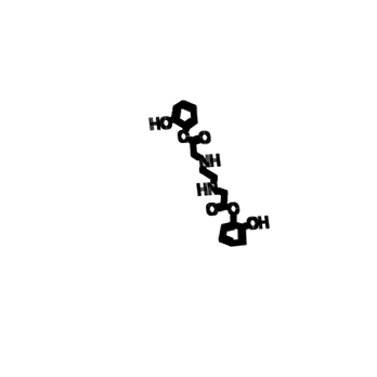 O=C(CNCCNCC(=O)Oc1ccccc1O)Oc1ccccc1O